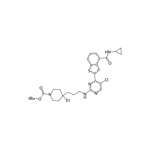 CCC1(CCCNc2ncc(Cl)c(-c3cc4c(C(=O)NC5CC5)cccc4s3)n2)CCN(C(=O)OC(C)(C)C)CC1